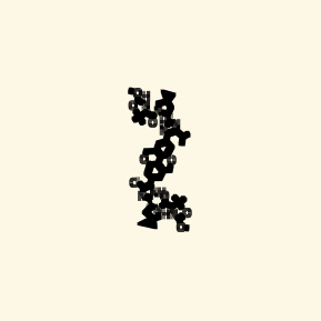 COC(=O)N[C@H](C(=O)N1CC2(CC2)C[C@H]1c1nc(Cl)c(-c2cc3c4c(c2)OCc2cc(-c5[nH]c([C@@H]6CC7(CC7)CN6C(=O)[C@@H](NC(=O)OC)C(C)(C)C)nc5C(C)C)cc(c2-4)OC3)[nH]1)C(C)(C)C